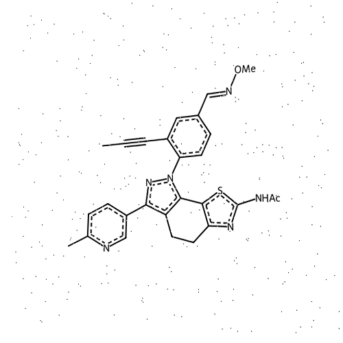 CC#Cc1cc(C=NOC)ccc1-n1nc(-c2ccc(C)nc2)c2c1-c1sc(NC(C)=O)nc1CC2